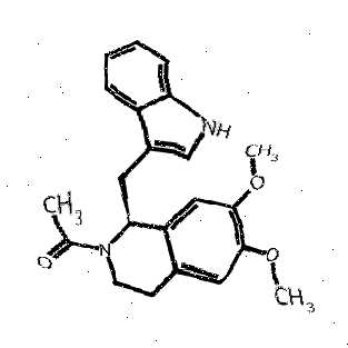 COc1cc2c(cc1OC)[C@H](Cc1c[nH]c3ccccc13)N(C(C)=O)CC2